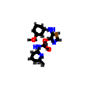 COc1cccc(Nc2scnc2OC(=O)Nc2cccc(C)n2)c1